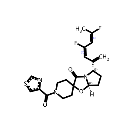 C=C(/C=C(F)\C=C(/C)F)[C@@H]1CC[C@H]2OC3(CCN(C(=O)c4cscn4)CC3)C(=O)N21